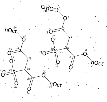 CCCCCCCCOC(=O)CC(C(=O)OCCCCCCCC)S(=O)(=O)[O-].CCCCCCCCOC(=O)CC(C(=O)OCCCCCCCC)S(=O)(=O)[O-].[Cu+2]